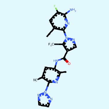 Cc1cc(F)c(N)nc1-n1ncc(C(=O)Nc2cc(C#N)c(-n3nccn3)nc2C)c1C(F)(F)F